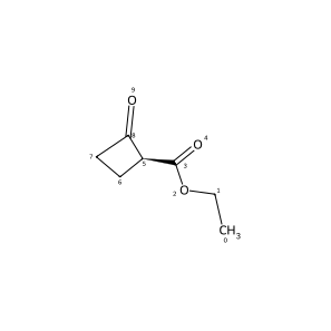 CCOC(=O)[C@H]1CCC1=O